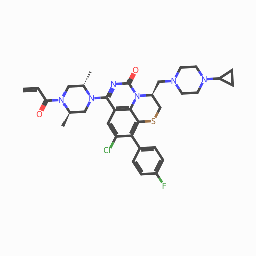 C=CC(=O)N1C[C@H](C)N(c2nc(=O)n3c4c(c(-c5ccc(F)cc5)c(Cl)cc24)SC[C@@H]3CN2CCN(C3CC3)CC2)C[C@H]1C